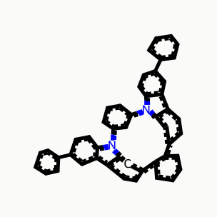 c1ccc(-c2ccc3c(c2)c2ccc4cc2n3c2cccc(c2)n2c3ccc(-c5ccccc5)cc3c3ccc(cc32)c2ccccc42)cc1